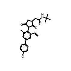 C=Cc1cc(-c2ccc(Cl)cn2)cc(C)c1C1C(=O)CC(CC(=O)NC(C)(C)C)C1=O